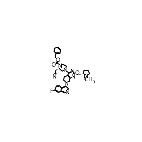 CN1CCC[C@H]1COc1nc2c(c(N3CCN(C(=O)OCc4ccccc4)[C@@H](CC#N)C3)n1)CCN(c1cncc3cc(F)ccc13)C2